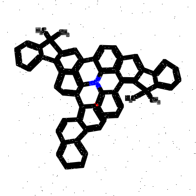 CC1(C)c2ccccc2-c2ccc(-c3ccccc3N(c3ccccc3-c3cccc4c3C(C)(C)c3ccccc3-4)c3ccccc3-c3cccc4c3ccc3ccccc34)cc21